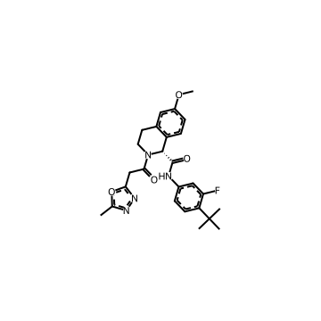 COc1ccc2c(c1)CCN(C(=O)Cc1nnc(C)o1)[C@H]2C(=O)Nc1ccc(C(C)(C)C)c(F)c1